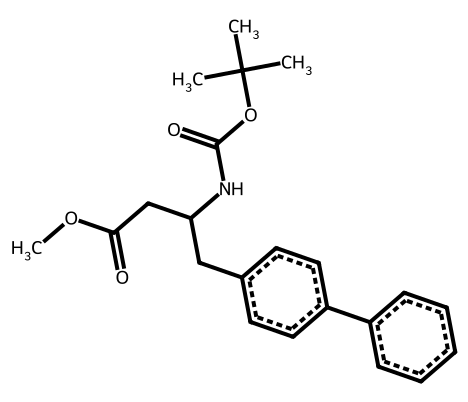 COC(=O)CC(Cc1ccc(-c2ccccc2)cc1)NC(=O)OC(C)(C)C